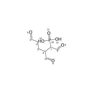 O=[C]CCC([C]=O)C([C]=O)P(=O)(O)O